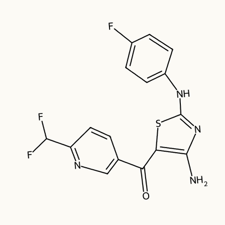 Nc1nc(Nc2ccc(F)cc2)sc1C(=O)c1ccc(C(F)F)nc1